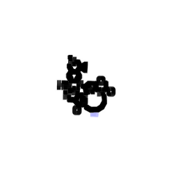 CN1Cc2cc(Nc3ncc4c(=O)n5n(c4n3)-c3nc4c(cc3F)OCC(=O)N4CCC/C=C\C5)ccc2C2(CC2)C1